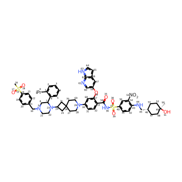 CC(C)c1ccccc1C1CN(Cc2ccc(S(C)(=O)=O)cc2)CCN1C1CC2(CCN(c3ccc(C(=O)NS(=O)(=O)c4ccc(NC[C@H]5CC[C@](C)(O)CC5)c([N+](=O)[O-])c4)c(Oc4cnc5[nH]ccc5c4)c3)CC2)C1